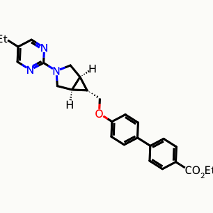 CCOC(=O)c1ccc(-c2ccc(OC[C@@H]3[C@H]4CN(c5ncc(CC)cn5)C[C@@H]34)cc2)cc1